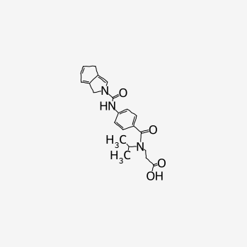 CC(C)N(CCC(=O)O)C(=O)c1ccc(NC(=O)N2C=C3CC=CC=C3C2)cc1